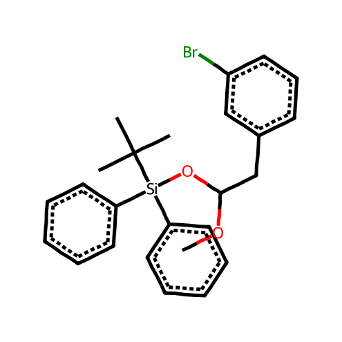 COC(Cc1cccc(Br)c1)O[Si](c1ccccc1)(c1ccccc1)C(C)(C)C